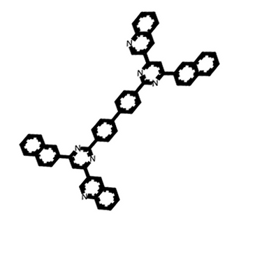 c1ccc2cc(-c3cc(-c4cnc5ccccc5c4)nc(-c4ccc(-c5ccc(-c6nc(-c7ccc8ccccc8c7)cc(-c7cnc8ccccc8c7)n6)cc5)cc4)n3)ccc2c1